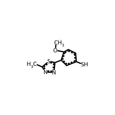 COc1ccc(S)cc1-c1nnc(C)s1